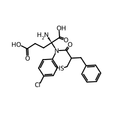 N[C@@](CCC(=O)O)(C(=O)O)N(C(=O)C(CS)Cc1ccccc1)c1ccc(Cl)cc1